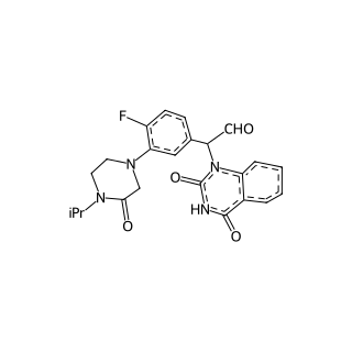 CC(C)N1CCN(c2cc(C(C=O)n3c(=O)[nH]c(=O)c4ccccc43)ccc2F)CC1=O